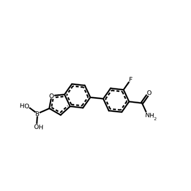 NC(=O)c1ccc(-c2ccc3oc(B(O)O)cc3c2)cc1F